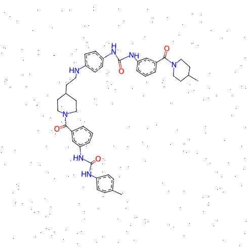 Cc1ccc(NC(=O)Nc2cccc(C(=O)N3CCC(CCNc4ccc(NC(=O)Nc5cccc(C(=O)N6CCC(C)CC6)c5)cc4)CC3)c2)cc1